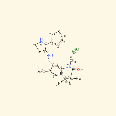 COc1cc2c(cc1CNC1CCNC1c1ccccc1)N(C)C(=O)[C@@H]1C[C@H]21.Cl.Cl